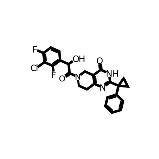 O=C(C(O)c1ccc(F)c(Cl)c1F)N1CCc2nc(C3(c4ccccc4)CC3)[nH]c(=O)c2C1